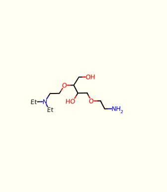 CCN(CC)CCOC(CO)C(O)COCCN